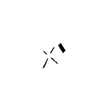 C#N.C[Si](C)(C)Cl